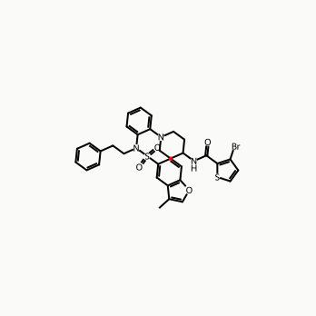 Cc1coc2ccc(S(=O)(=O)N(CCc3ccccc3)c3ccccc3N3CCC(NC(=O)c4sccc4Br)CC3)cc12